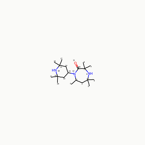 CC1CC(C)(C)NC(C)(C)C(=O)N1C1CC(C)(C)NC(C)(C)C1